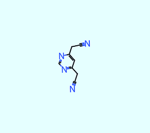 N#CCc1cc(CC#N)ncn1